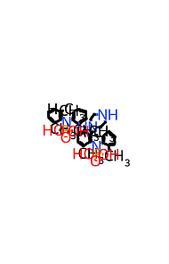 C1CNCCN1.Cc1cccc(C)c1N(c1c(C)cccc1C)P(=O)(O)O.Cc1cccc(C)c1N(c1c(C)cccc1C)P(=O)(O)O